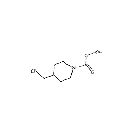 [C-]#[N+]CC1CCN(C(=O)OC(C)(C)C)CC1